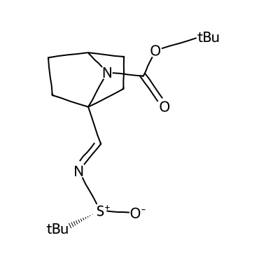 CC(C)(C)OC(=O)N1C2CCC1(/C=N/[S@+]([O-])C(C)(C)C)CC2